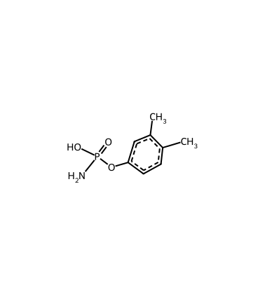 Cc1ccc(OP(N)(=O)O)cc1C